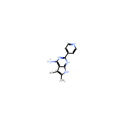 Cc1[nH]c2nc(-c3ccncc3)nc(N)c2c1C(C)C